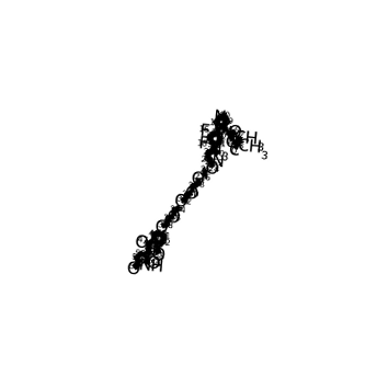 CC(C)(C)OC(=O)n1c2ccncc2c2c(F)c(F)c(-c3ccc(OCCOCCOCCOCCOCCOc4ccc5c(c4)C(=O)N(C4CCC(=O)NC4=O)C5=O)nc3)cc21